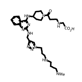 CNCCCNCCCn1cc(CNc2nc(NC3CCN(C(=O)CCNCC(=O)O)CC3)c3ccccc3n2)nn1